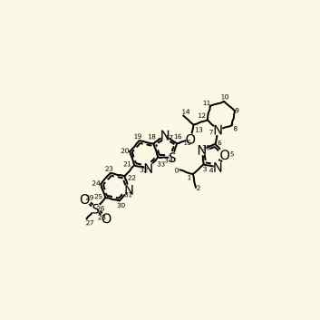 CC(C)c1noc(N2CCCCC2C(C)Oc2nc3ccc(-c4ccc(S(C)(=O)=O)cn4)nc3s2)n1